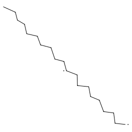 [CH2]CCCCCCCC[CH]CCCCCCCCCC